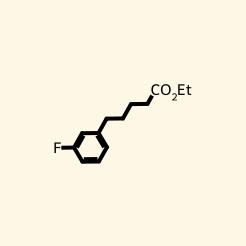 CCOC(=O)CCCCc1cccc(F)c1